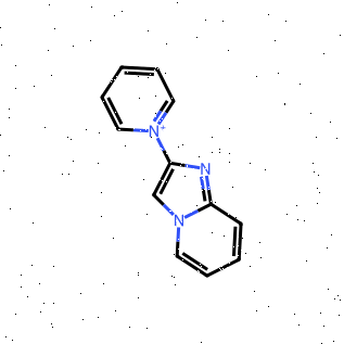 c1cc[n+](-c2cn3ccccc3n2)cc1